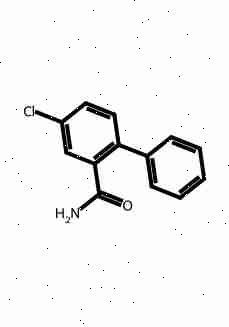 NC(=O)c1cc(Cl)ccc1-c1ccccc1